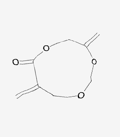 C=C1COC(=O)C(=C)COCO1